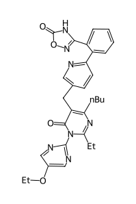 CCCCc1nc(CC)n(-c2ncc(OCC)cn2)c(=O)c1Cc1ccc(-c2ccccc2-c2noc(=O)[nH]2)nc1